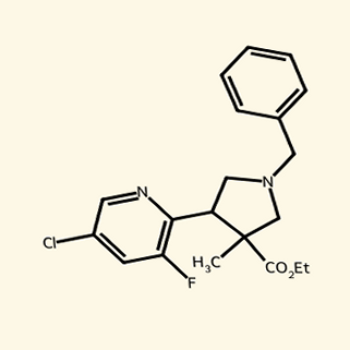 CCOC(=O)C1(C)CN(Cc2ccccc2)CC1c1ncc(Cl)cc1F